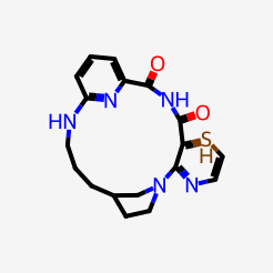 O=C1NC(=O)c2cccc(n2)NCCCC2CCN(C2)C2=NC=C[SH]=C12